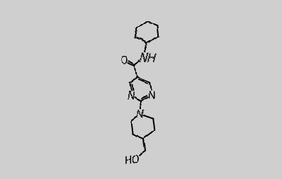 O=C(NC1CCCCC1)c1cnc(N2CCC(CO)CC2)nc1